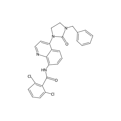 O=C(Nc1cccc2c(N3CCN(Cc4ccccc4)C3=O)ccnc12)c1c(Cl)cccc1Cl